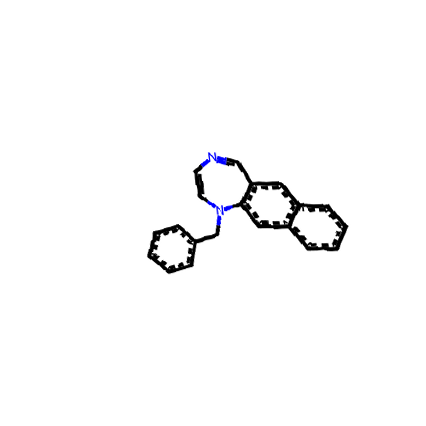 C1=CN(Cc2ccccc2)c2cc3ccccc3cc2C=N1